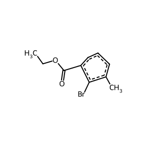 CCOC(=O)c1cccc(C)c1Br